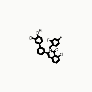 CCOc1ccc(-c2cccc(-c3cc4cccc(Cl)c4c(=O)n3Cc3ccc(F)cc3F)c2)cc1Cl